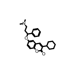 CN(C)CCC(Oc1ccc2oc(=O)c(C3CCCCC3)cc2c1)c1ccccc1